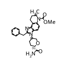 COC(=O)N1c2ccc3c(nc(Cc4ccccc4)n3[C@@H]3CC[C@@H](C(N)=O)OC3)c2CC[C@@H]1C